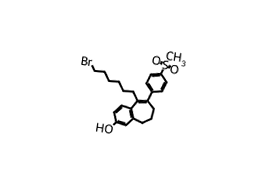 CS(=O)(=O)c1ccc(C2=C(CCCCCCBr)c3ccc(O)cc3CCC2)cc1